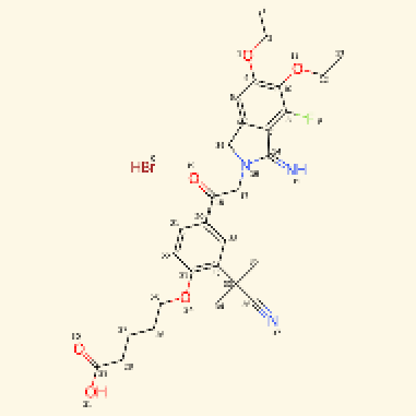 Br.CCOc1cc2c(c(F)c1OCC)C(=N)N(CC(=O)c1ccc(OCCCCC(=O)O)c(C(C)(C)C#N)c1)C2